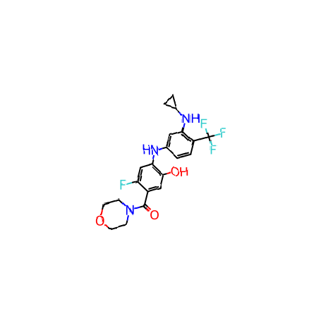 O=C(c1cc(O)c(Nc2ccc(C(F)(F)F)c(NC3CC3)c2)cc1F)N1CCOCC1